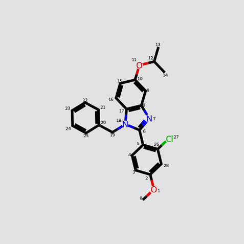 COc1ccc(-c2nc3cc(OC(C)C)ccc3n2Cc2ccccc2)c(Cl)c1